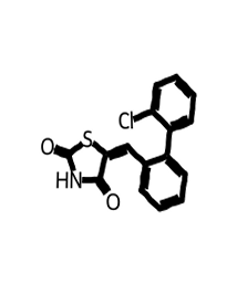 O=C1NC(=O)/C(=C\c2ccccc2-c2ccccc2Cl)S1